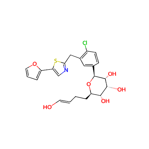 OC=CCC[C@H]1O[C@@H](c2ccc(Cl)c(Cc3ncc(-c4ccco4)s3)c2)[C@H](O)[C@H](O)[C@@H]1O